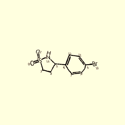 O=S1(=O)CCC(c2ccc(Br)cc2)N1